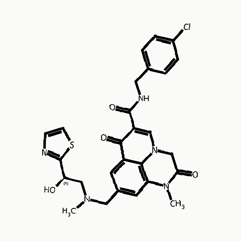 CN(Cc1cc2c3c(c1)c(=O)c(C(=O)NCc1ccc(Cl)cc1)cn3CC(=O)N2C)C[C@@H](O)c1nccs1